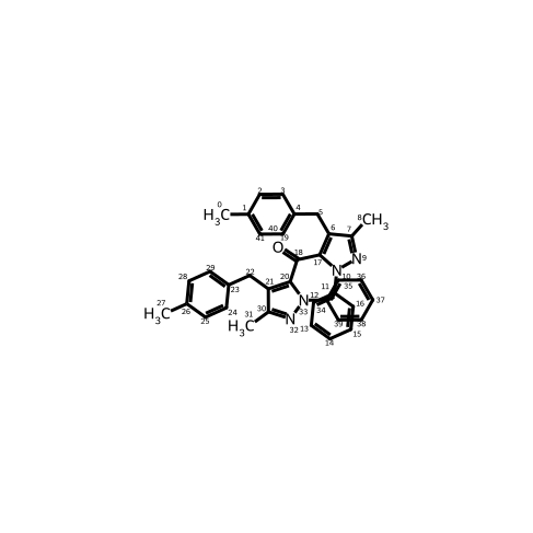 Cc1ccc(Cc2c(C)nn(-c3ccccc3)c2C(=O)c2c(Cc3ccc(C)cc3)c(C)nn2-c2ccccc2)cc1